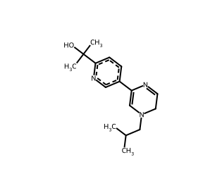 CC(C)CN1C=C(c2ccc(C(C)(C)O)nc2)N=CC1